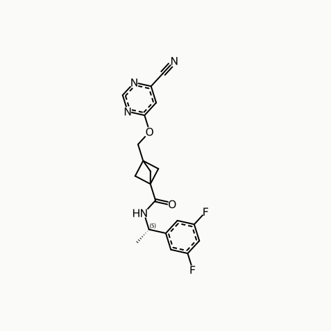 C[C@H](NC(=O)C12CC(COc3cc(C#N)ncn3)(C1)C2)c1cc(F)cc(F)c1